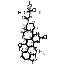 Cn1ncc2ccc(F)c(-c3c(Cl)c4c5c(nc(Cl)nc5c3F)N3CCN(C(=O)OC(C)(C)C)C[C@H]3CO4)c21